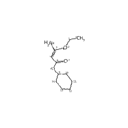 CCO/C(N)=C\C(=O)OC1CCCCC1